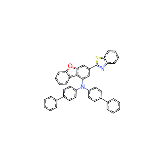 c1ccc(-c2ccc(N(c3ccc(-c4ccccc4)cc3)c3cc(-c4nc5ccccc5s4)cc4oc5ccccc5c34)cc2)cc1